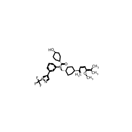 C=C(/C=C\C(OC)=C(C)C)[C@H]1CC[C@H](CN(c2cccc(-c3cnn(C(F)(F)F)c3)c2)C(=O)[C@H]2CC[C@H](O)CC2)CC1